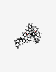 c1ccc(-c2c(-c3ccc4c(c3)sc3ccc5ccccc5c34)cccc2N(c2ccc3cccc(-c4ccccc4)c3c2)c2cccc3c2C(c2ccccc2)(c2ccccc2)c2ccccc2-3)cc1